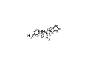 Cc1cccc(C(=O)NCCC2(CN)Cc3ccccc3O2)c1